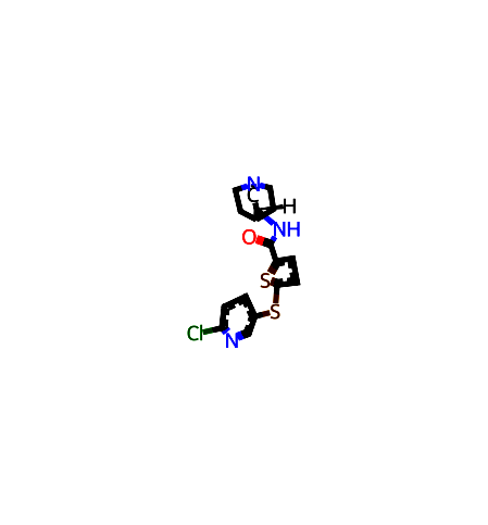 O=C(N[C@H]1CN2CCC1CC2)c1ccc(Sc2ccc(Cl)nc2)s1